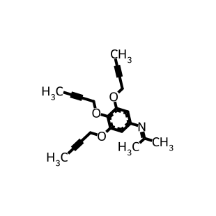 CC#CCOc1cc(N=C(C)C)cc(OCC#CC)c1OCC#CC